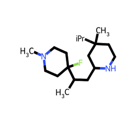 CC(C)C1(C)CCNC(CC(C)C2(F)CCN(C)CC2)C1